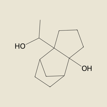 CC(O)C12CCCC1(O)C1CCC2C1